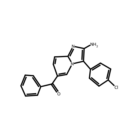 Nc1nc2ccc(C(=O)c3ccccc3)cn2c1-c1ccc(Cl)cc1